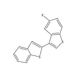 Fc1ccc2scc(-c3cc4ccccc4s3)c2c1